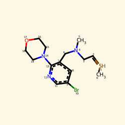 C/[SH]=C\CN(C)Cc1cc(Br)cnc1N1CCOCC1